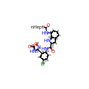 CCCCCCCC(=O)Nc1cccc2cc(C(=O)Nc3ccc(Br)cc3-c3noc(=O)[nH]3)[nH]c12